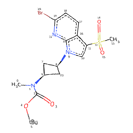 CN(C(=O)OC(C)(C)C)[C@H]1C[C@@H](n2cc(S(C)(=O)=O)c3ccc(Br)nc32)C1